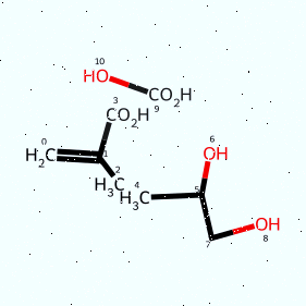 C=C(C)C(=O)O.CC(O)CO.O=C(O)O